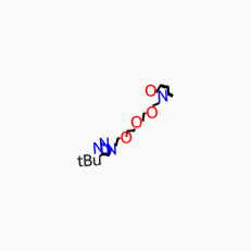 C=C1C=CC(=O)N1CCOCCOCCOCCn1cc(C(C)(C)C)nn1